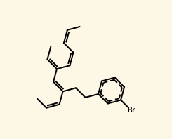 C\C=C/C=C\C(=C/C)\C=C(\C=C/C)CCc1cccc(Br)c1